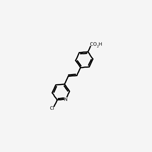 O=C(O)c1ccc(C=Cc2ccc(Cl)nc2)cc1